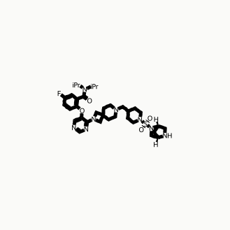 CC(C)N(C(=O)c1cc(F)ccc1Oc1cncnc1N1CC2(CCN(CC3CCN(S(=O)(=O)N4C[C@@H]5C[C@H]4CN5)CC3)CC2)C1)C(C)C